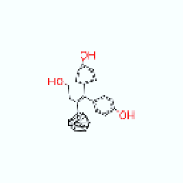 OCCC(=C(c1ccc(O)cc1)c1ccc(O)cc1)[C]12[CH]3[CH]4[CH]5[CH]1[Fe]45321678[CH]2[CH]1[CH]6[CH]7[CH]28